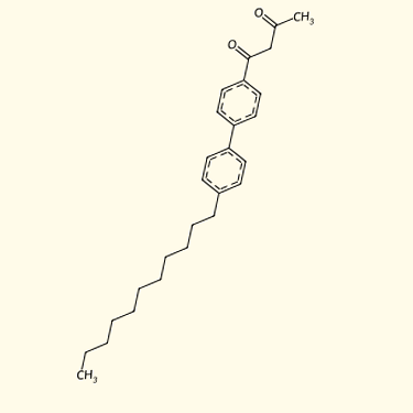 CCCCCCCCCCCc1ccc(-c2ccc(C(=O)CC(C)=O)cc2)cc1